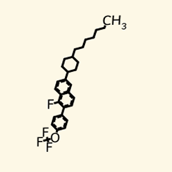 CCCCCCCC1CCC(c2ccc3c(F)c(-c4ccc(OC(F)(F)F)cc4)ccc3c2)CC1